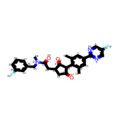 Cc1cc(-c2ncc(F)cn2)cc(C)c1C1C(=O)CC(CC(=O)N(C)Cc2cccc(F)c2)C1=O